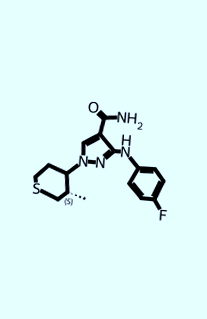 C[C@@H]1CSCCC1n1cc(C(N)=O)c(Nc2ccc(F)cc2)n1